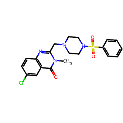 Cn1c(CN2CCN(S(=O)(=O)c3ccccc3)CC2)nc2ccc(Cl)cc2c1=O